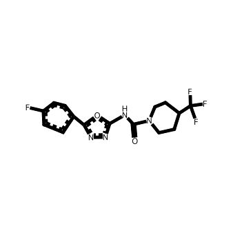 O=C(Nc1nnc(-c2ccc(F)cc2)o1)N1CCC(C(F)(F)F)CC1